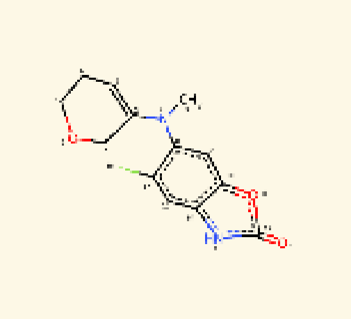 CN(C1=CCCOC1)c1cc2oc(=O)[nH]c2cc1F